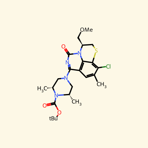 COC[C@H]1CSc2c(Cl)c(C)cc3c(N4C[C@@H](C)N(C(=O)OC(C)(C)C)[C@@H](C)C4)nc(=O)n1c23